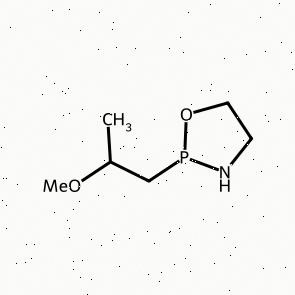 COC(C)CP1NCCO1